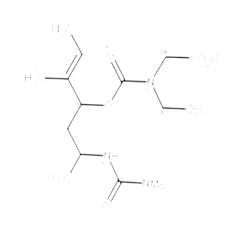 C/C=C(\C)C(CC(C)NC(=O)NC)OC(=O)N(CO)CC(=O)O